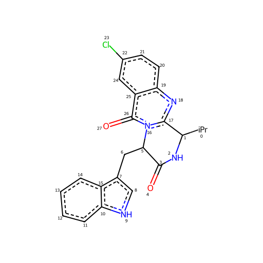 CC(C)C1NC(=O)C(Cc2c[nH]c3ccccc23)n2c1nc1ccc(Cl)cc1c2=O